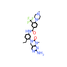 CCc1ccc(NC(=O)c2ccc(N3CCN(C)CC3)c(C(F)(F)F)c2)cc1N1Cc2cnc(N)nc2N(C)C1=O